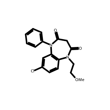 COCCN1C(=O)CC(=O)N(c2ccccc2)c2cc(Cl)ccc21